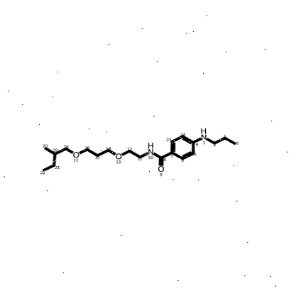 CCCNc1ccc(C(=O)NCCOCCCOCC(C)CC)cc1